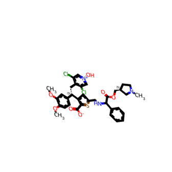 COc1ccc([C@H](Cc2c(Cl)c[n+](O)cc2Cl)c2cc(CNC(C(=O)OC[C@H]3CCN(C)C3)c3ccccc3)sc2C(=O)[O-])cc1OC